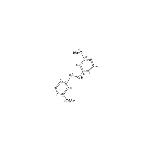 COc1cccc([Se][Se]c2cccc(OC)c2)c1